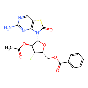 CC(=O)O[C@@H]1[C@@H](F)[C@@H](COC(=O)c2ccccc2)O[C@H]1n1c(=O)sc2cnc(N)nc21